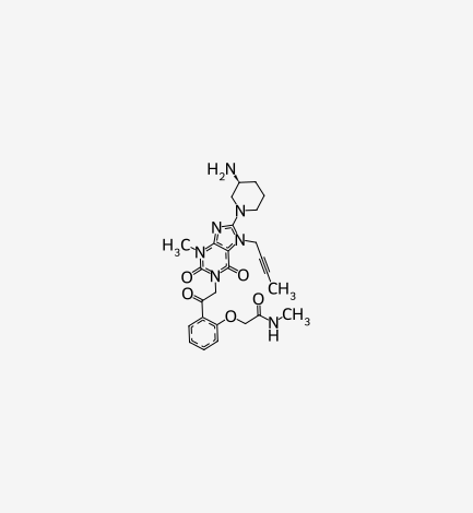 CC#CCn1c(N2CCC[C@H](N)C2)nc2c1c(=O)n(CC(=O)c1ccccc1OCC(=O)NC)c(=O)n2C